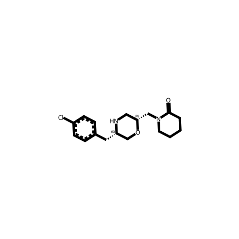 O=C1CCCCN1C[C@H]1CN[C@@H](Cc2ccc(Cl)cc2)CO1